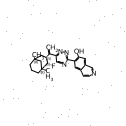 C=C(c1cnc(-c2cc3ccncc3cc2O)nn1)[C@@H]1C[C@@]2(C)CCC[C@](C)(C2)[C@H]1F